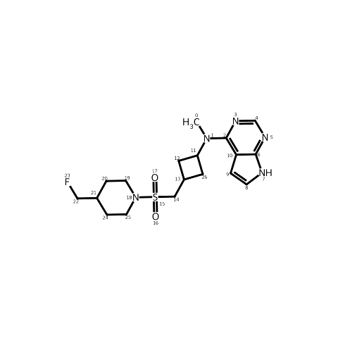 CN(c1ncnc2[nH]ccc12)C1CC(CS(=O)(=O)N2CCC(CF)CC2)C1